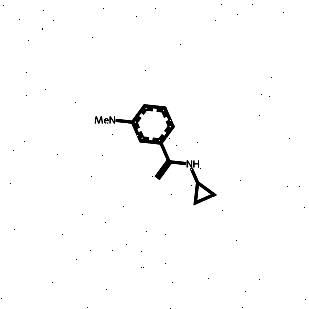 C=C(NC1CC1)c1cccc(NC)c1